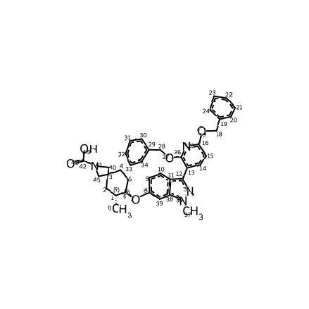 C[C@@H]1CC2(CC[C@H]1Oc1ccc3c(-c4ccc(OCc5ccccc5)nc4OCc4ccccc4)nn(C)c3c1)CN(C(=O)O)C2